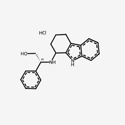 Cl.OC[C@H](NC1CCCc2c1[nH]c1ccccc21)c1ccccc1